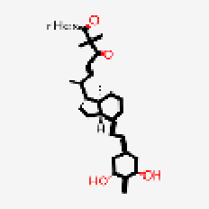 C=C1[C@H](O)CC(=C/C=C2\CCC[C@]3(C)[C@@H]([C@@H](C)/C=C/C(=O)C(C)(C)C(=O)CCCCCC)CC[C@@H]23)C[C@H]1O